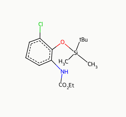 CCOC(=O)Nc1cccc(Cl)c1O[Si](C)(C)C(C)(C)C